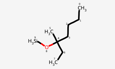 CCCCC(C)(CC)O[SiH3]